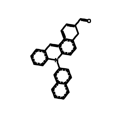 O=CC1=CC=c2c(ccc3c2=Cc2ccccc2N3c2ccc3ccccc3c2)C1